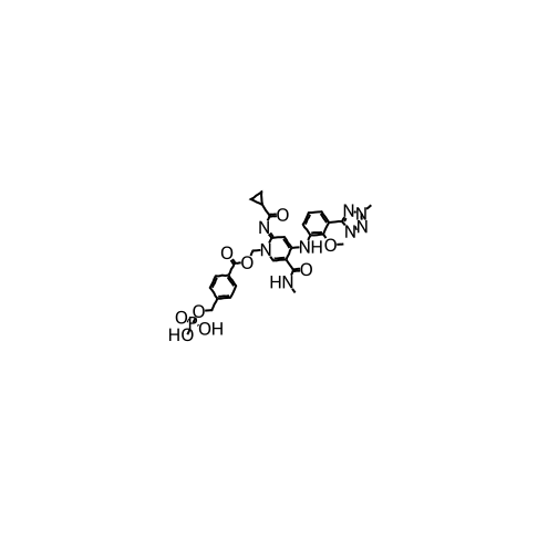 CNC(=O)c1cn(COC(=O)c2ccc(COP(=O)(O)O)cc2)/c(=N/C(=O)C2CC2)cc1Nc1cccc(-c2nnn(C)n2)c1OC